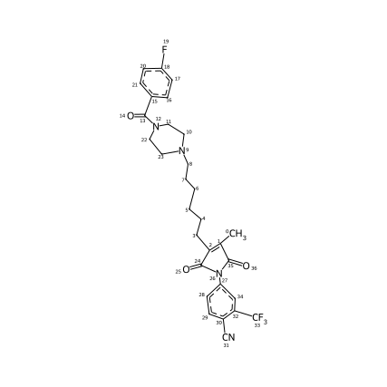 CC1=C(CCCCCCN2CCN(C(=O)c3ccc(F)cc3)CC2)C(=O)N(c2ccc(C#N)c(C(F)(F)F)c2)C1=O